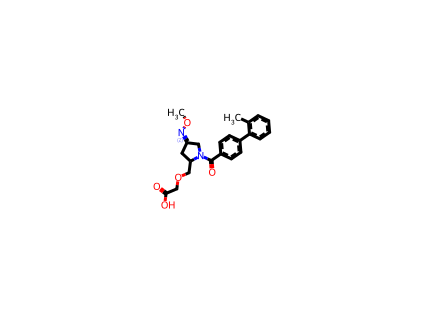 CO/N=C1/CC(COCC(=O)O)N(C(=O)c2ccc(-c3ccccc3C)cc2)C1